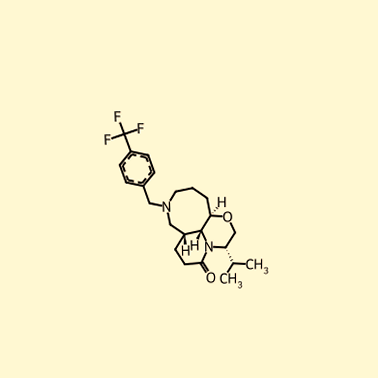 CC(C)[C@H]1CO[C@@H]2CCCN(Cc3ccc(C(F)(F)F)cc3)C[C@H]3CCC(=O)N1[C@H]32